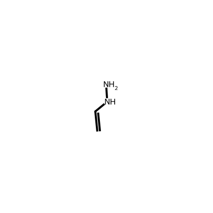 C=CNN